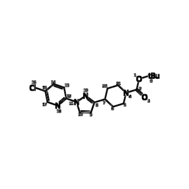 CC(C)(C)OC(=O)N1CCC(c2ccn(-c3ccc(Cl)cn3)n2)CC1